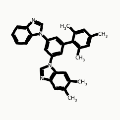 Cc1cc(C)c(-c2cc(-n3cnc4ccccc43)cc(-n3cnc4cc(C)c(C)cc43)c2)c(C)c1